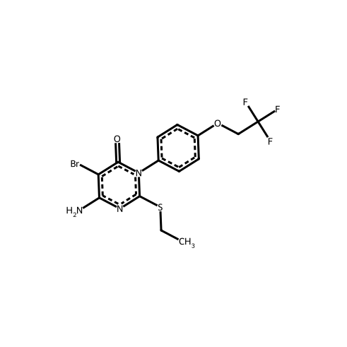 CCSc1nc(N)c(Br)c(=O)n1-c1ccc(OCC(F)(F)F)cc1